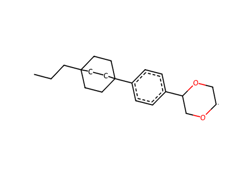 CCCC12CCC(c3ccc(C4CO[CH]CO4)cc3)(CC1)CC2